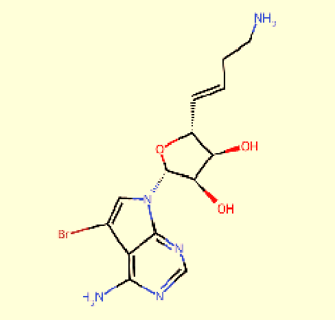 NCC/C=C/[C@H]1O[C@@H](n2cc(Br)c3c(N)ncnc32)[C@H](O)[C@@H]1O